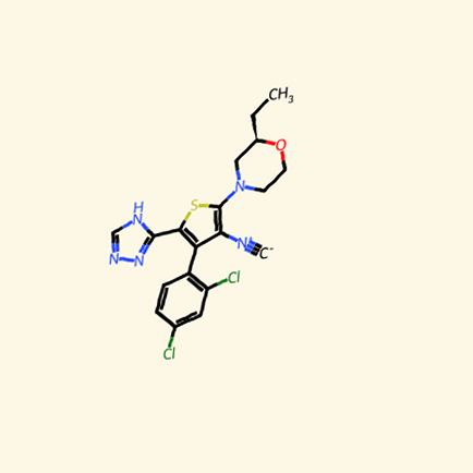 [C-]#[N+]c1c(N2CCO[C@H](CC)C2)sc(-c2nnc[nH]2)c1-c1ccc(Cl)cc1Cl